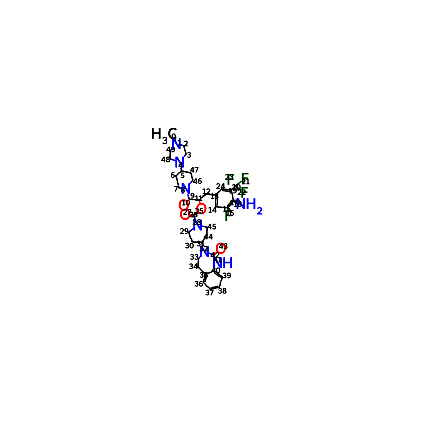 CN1CCN(C2CCN(C(=O)[C@@H](Cc3cc(F)c(N)c(C(F)(F)F)c3)OC(=O)N3CCC(N4CCc5ccccc5NC4=O)CC3)CC2)CC1